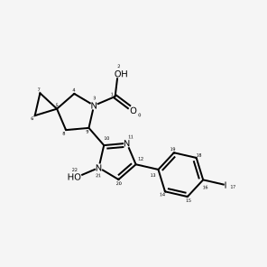 O=C(O)N1CC2(CC2)CC1c1nc(-c2ccc(I)cc2)cn1O